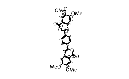 COc1cc2nc(-c3ccc(-c4nc5cc(OC)c(OC)cc5c(=O)o4)cc3)oc(=O)c2cc1OC